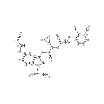 NC(=O)c1nn(CC(=O)N(CC(=O)NCc2cccc(Cl)c2F)C2CC2)c2cc(CNC=O)ccc12